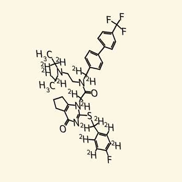 [2H]c1c([2H])c(C([2H])([2H])Sc2nc(=O)c3c(n2C([2H])([2H])C(=O)N(CCN(C([2H])([2H])C)C([2H])([2H])C)C([2H])([2H])c2ccc(-c4ccc(C(F)(F)F)cc4)cc2)CCC3)c([2H])c([2H])c1F